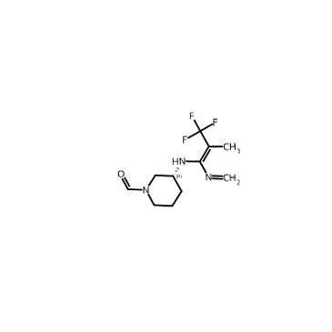 C=N/C(N[C@@H]1CCCN(C=O)C1)=C(\C)C(F)(F)F